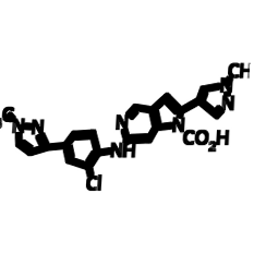 Cn1cc(-c2cc3cnc(Nc4ccc(-c5ccn(C)n5)cc4Cl)cc3n2C(=O)O)cn1